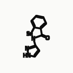 O=c1c2ccccc2[se]n1-c1cc[nH]n1